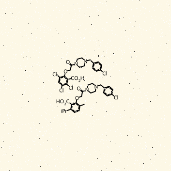 Cc1ccc(C(C)C)c(C(=O)O)c1OCC(=O)N1CCN(Cc2ccc(Cl)cc2)CC1.O=C(O)c1c(Cl)c(Cl)cc(Cl)c1OCC(=O)N1CCN(Cc2ccc(Cl)cc2)CC1